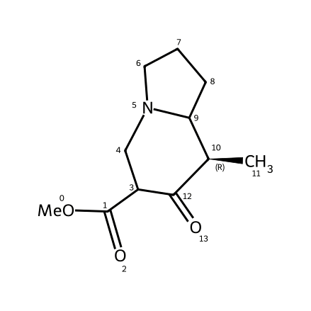 COC(=O)C1CN2CCCC2[C@@H](C)C1=O